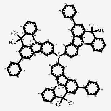 CC1(C)c2ccccc2-n2c3ccc(N(c4ccc5c(c4)c4cc(-c6ccccc6)cc6c4n5-c4ccccc4C6(C)C)c4ccc5c(c4)c4cc(-c6ccccc6)cc6c4n5-c4ccccc4C6(C)C)cc3c3cc(-c4ccccc4)cc1c32